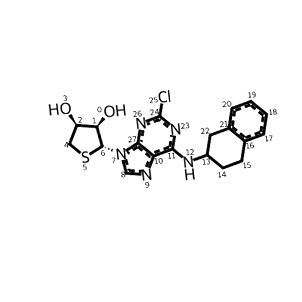 O[C@@H]1[C@H](O)CS[C@H]1n1cnc2c(NC3CCc4ccccc4C3)nc(Cl)nc21